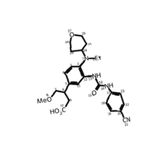 CCN(c1ccc(C(COC)CC(=O)O)cc1NC(=O)Nc1ccc(C#N)cc1)C1CCOCC1